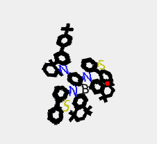 CC(C)(C)c1ccc(-c2ccc3c(c2)C2(C)CCCCC2(C)N3c2cc3c4c(c2)N(c2cccc5sc6ccccc6c25)c2cc5c(cc2B4c2cc4c(cc2N3c2cccc3c2sc2ccccc23)C(C)(C)CCC4(C)C)C(C)(C)CCC5(C)C)cc1